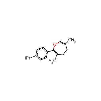 CC1=COC(c2ccc(C(C)C)cc2)=C(C)CC1